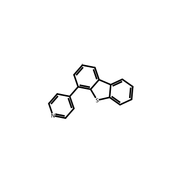 [c]1cc(-c2ccncc2)c2sc3ccccc3c2c1